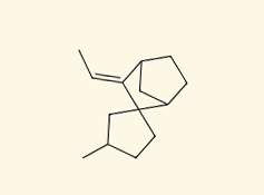 CC=C1C2CCC(C2)C12CCC(C)C2